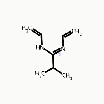 C=C/N=C(\NC=C)C(C)C